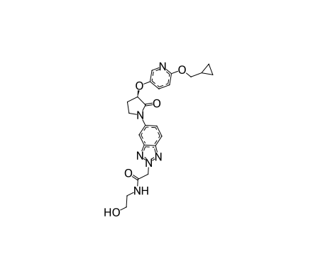 O=C(Cn1nc2ccc(N3CC[C@@H](Oc4ccc(OCC5CC5)nc4)C3=O)cc2n1)NCCO